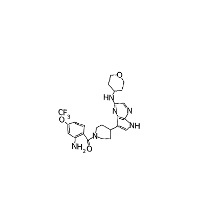 Nc1cc(OC(F)(F)F)ccc1C(=O)N1CCC(c2c[nH]c3ncc(NC4CCOCC4)nc23)CC1